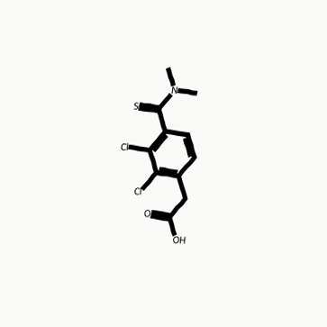 CN(C)C(=S)c1ccc(CC(=O)O)c(Cl)c1Cl